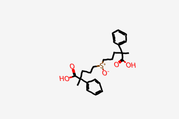 CC(CCC[S+]([O-])CCCC(C)(C(=O)O)c1ccccc1)(C(=O)O)c1ccccc1